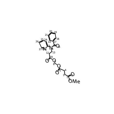 COC(=O)CCC(=O)OCOC(=O)CCN(C(=O)C1=CC=C=C=C1)c1ccccn1